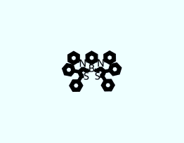 c1ccc(-c2sc3c(c2-c2ccccc2)N(c2ccccc2)c2cccc4c2B3c2sc(-c3ccccc3)c(-c3ccccc3)c2N4c2ccccc2)cc1